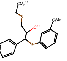 COc1cccc(SC(c2ccccc2)C(O)CSCC(=O)O)c1